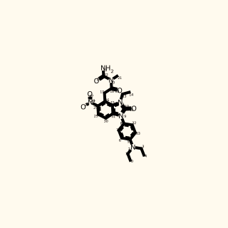 CCN(CC)c1ccc(-n2c(=O)n(CC)c3c(CC(=O)N(C)C(N)=O)c([N+](=O)[O-])ccc32)cc1